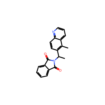 Cc1c(C(C)N2C(=O)c3ccccc3C2=O)ccc2ncccc12